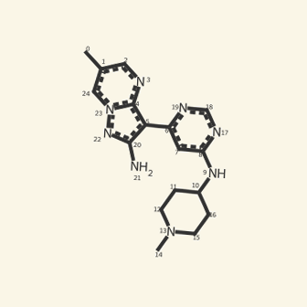 Cc1cnc2c(-c3cc(NC4CCN(C)CC4)ncn3)c(N)nn2c1